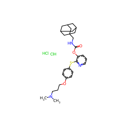 CN(C)CCCOc1ccc(Sc2ncccc2OC(=O)NCC23CC4CC(CC(C4)C2)C3)cc1.Cl.Cl